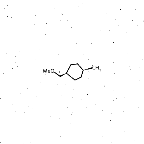 COC[C@H]1CC[C@@H](C)CC1